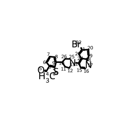 CSc1c(C=O)cccc1C1CCN(c2ccnc3ccc(Br)cc23)CC1